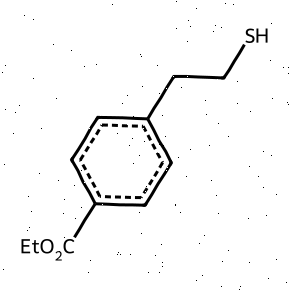 CCOC(=O)c1ccc(CCS)cc1